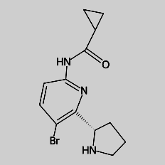 O=C(Nc1ccc(Br)c([C@@H]2CCCN2)n1)C1CC1